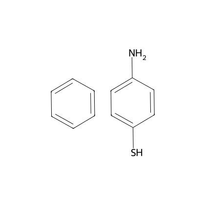 Nc1ccc(S)cc1.c1ccccc1